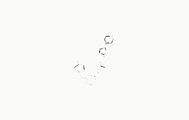 O=C(CSc1ccc(-c2ccncc2)s1)NC[C@H]1CN(CC2C=C(Cl)C(Cl)=CC2)CCO1